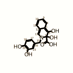 O=C(O)C1(O)C(O)=c2ccccc2=CN1Cc1ccc(O)c(O)c1